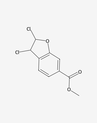 COC(=O)c1ccc2c(c1)OC(Cl)C2Cl